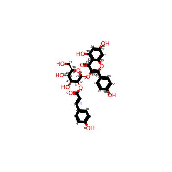 O=C(/C=C/c1ccc(O)cc1)O[C@H]1[C@H](Oc2c(-c3ccc(O)cc3)oc3cc(O)cc(O)c3c2=O)O[C@H](CO)[C@@H](O)[C@@H]1O